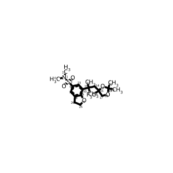 CN(C)S(=O)(=O)c1cc2c(c(C(C)(C)CC3(C(F)(F)F)COC(C)(C)O3)c1)OCC2